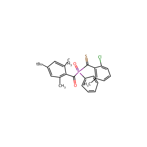 Cc1cc(C(C)(C)C)cc(C)c1C(=O)P(=O)(C(=S)c1c(C)cccc1Cl)c1ccccc1